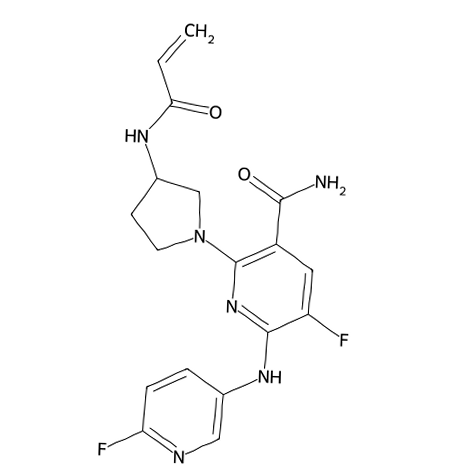 C=CC(=O)NC1CCN(c2nc(Nc3ccc(F)nc3)c(F)cc2C(N)=O)C1